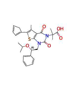 Cc1c(C2=CC=CC2)sc2c1c(=O)n(C(C)(C)C(=O)O)c(=O)n2C[C@H](OC(C)C)c1ccccc1